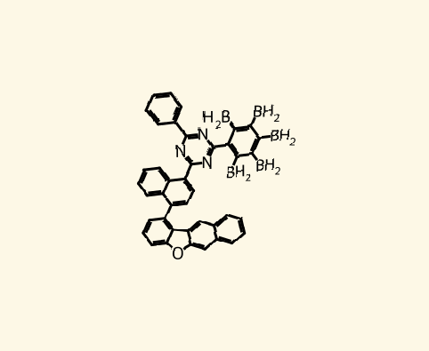 Bc1c(B)c(B)c(-c2nc(-c3ccccc3)nc(-c3ccc(-c4cccc5oc6cc7ccccc7cc6c45)c4ccccc34)n2)c(B)c1B